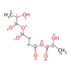 CC(O)C(=O)OC(=O)CCC(=O)OC(=O)C(C)O